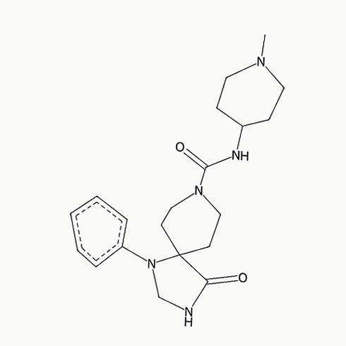 CN1CCC(NC(=O)N2CCC3(CC2)C(=O)NCN3c2ccccc2)CC1